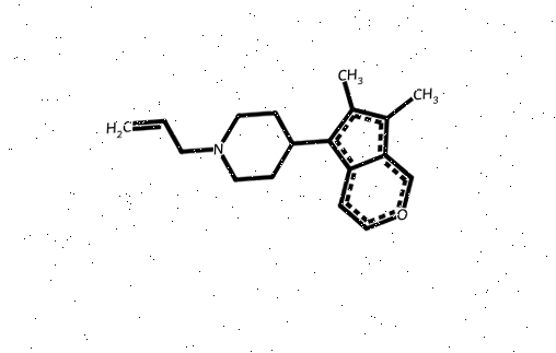 C=CCN1CCC(c2c3ccocc-3c(C)c2C)CC1